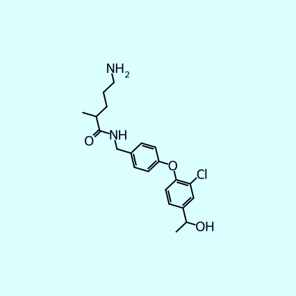 CC(CCCN)C(=O)NCc1ccc(Oc2ccc(C(C)O)cc2Cl)cc1